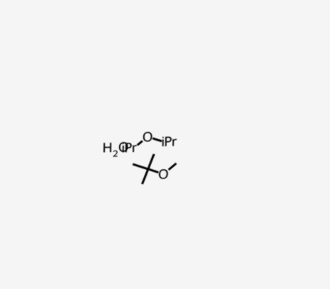 CC(C)OC(C)C.COC(C)(C)C.O